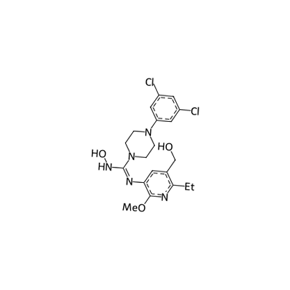 CCc1nc(OC)c(N=C(NO)N2CCN(c3cc(Cl)cc(Cl)c3)CC2)cc1CO